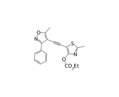 CCOC(=O)Oc1nc(C)sc1C#Cc1c(-c2ccccc2)noc1C